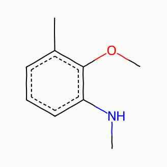 CNc1cccc(C)c1OC